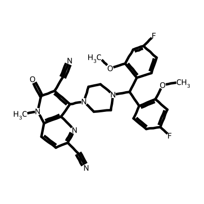 COc1cc(F)ccc1C(c1ccc(F)cc1OC)N1CCN(c2c(C#N)c(=O)n(C)c3ccc(C#N)nc23)CC1